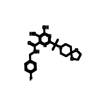 CC(C)(c1nc(O)c(O)c(C(=O)NCc2ccc(F)cc2)n1)N1CCC2(CC1)OCCO2